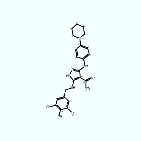 CCc1cc(CNc2[nH]nc(Nc3ccc(N4CCCCC4)cc3)c2C(N)=O)cc(C)c1O